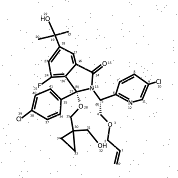 C=CCOC[C@@H](c1ccc(Cl)cn1)N1C(=O)c2cc(C(C)(C)O)cc(F)c2[C@]1(OCC1(CO)CC1)c1ccc(Cl)cc1